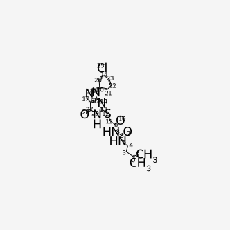 CC(C)CCNC(=O)NC(=O)CSc1nc2c(cnn2-c2cccc(Cl)c2)c(=O)[nH]1